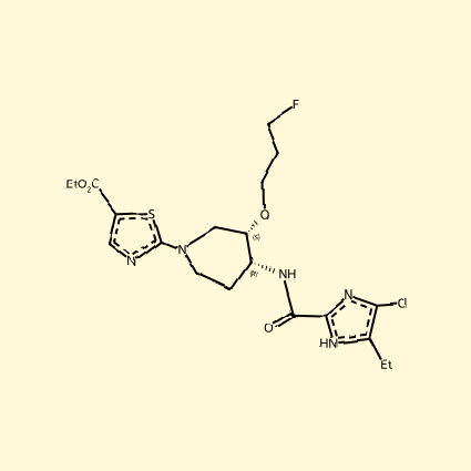 CCOC(=O)c1cnc(N2CC[C@@H](NC(=O)c3nc(Cl)c(CC)[nH]3)[C@@H](OCCCF)C2)s1